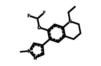 CCN1CCCc2cc(-c3cnn(C)c3)c(OC(F)F)cc21